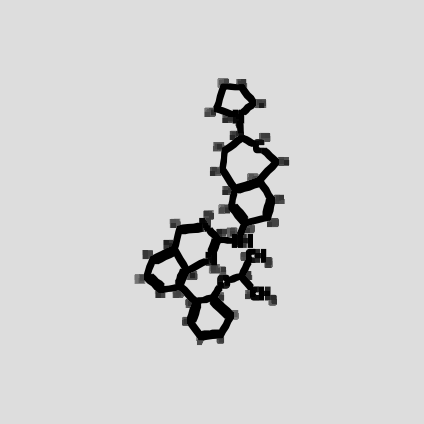 CC(C)Oc1ccccc1-c1cccc2cnc(Nc3ccc4c(c3)CC[C@@H](N3CCCC3)CC4)nc12